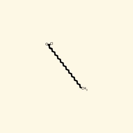 CCCCCCCCCCCCCCCCCCCCCCC=CC(=O)Cl